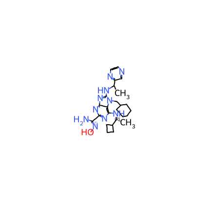 CC(Nc1nc2nc(/C(N)=N/O)nc(N[C@H](C)C3CCC3)c2n1CC1CCCCC1)c1cnccn1